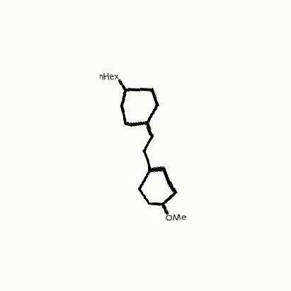 CCCCCCC1CCC(CCC2CCC(OC)CC2)CC1